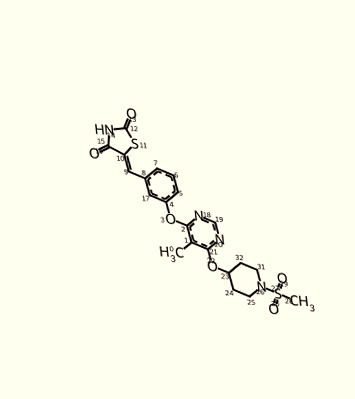 Cc1c(Oc2cccc(/C=C3\SC(=O)NC3=O)c2)ncnc1OC1CCN(S(C)(=O)=O)CC1